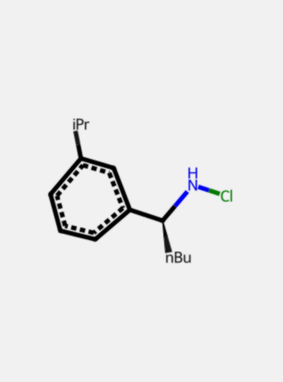 CCCC[C@H](NCl)c1cccc(C(C)C)c1